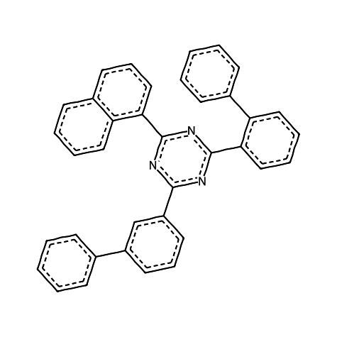 c1ccc(-c2cccc(-c3nc(-c4ccccc4-c4ccccc4)nc(-c4cccc5ccccc45)n3)c2)cc1